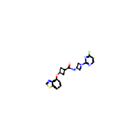 O=C(NC1CN(c2nccc(Cl)n2)C1)C1CC(Oc2cccc3scnc23)C1